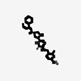 C=C(/C=C(\C=C/C)c1ccccc1)[C@@H]1CN[C@@H](C(=O)N[C@@H](C)C(=O)NCc2ccc(N)nc2C)C1